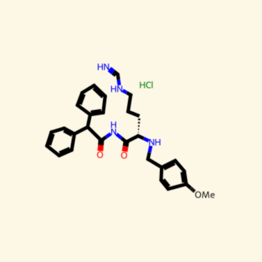 COc1ccc(CN[C@@H](CCCNC=N)C(=O)NC(=O)C(c2ccccc2)c2ccccc2)cc1.Cl